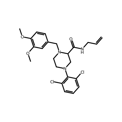 C=CCNC(=O)C1CN(c2c(Cl)cccc2Cl)CCN1Cc1ccc(OC)c(OC)c1